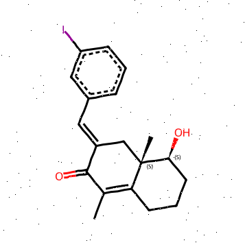 CC1=C2CCC[C@H](O)[C@@]2(C)CC(=Cc2cccc(I)c2)C1=O